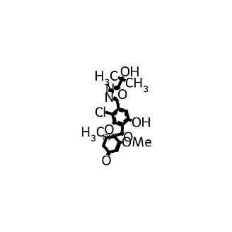 COC1=CC(=O)C[C@@H](C)[C@]12Oc1c(Cl)c(-c3nnc(C(C)(C)O)o3)cc(O)c1C2=O